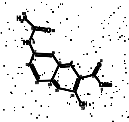 COC(=O)c1cc2cc(NC(N)=O)ccc2cc1O